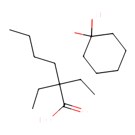 CCCCC(CC)(CC)C(=O)O.OC1(O)CCCCC1